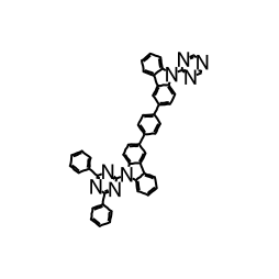 c1ccc(-c2nc(-c3ccccc3)nc(-n3c4ccccc4c4cc(-c5ccc(-c6ccc7c(c6)c6ccccc6n7-c6ncncn6)cc5)ccc43)n2)cc1